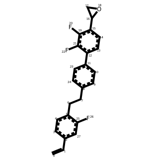 C=Cc1ccc(CCc2ccc(-c3ccc(C4CO4)c(F)c3F)cc2)c(F)c1